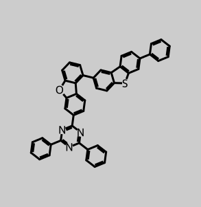 c1ccc(-c2ccc3c(c2)sc2ccc(-c4cccc5oc6cc(-c7nc(-c8ccccc8)nc(-c8ccccc8)n7)ccc6c45)cc23)cc1